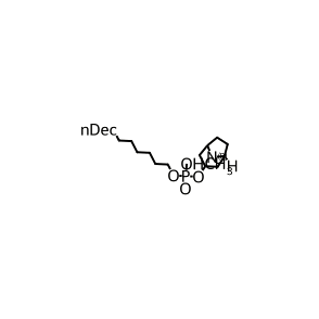 CCCCCCCCCCCCCCCCOP(=O)(O)OC1CC2CC[C@H](C1)N2C